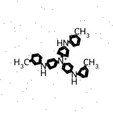 Cc1cccc(Nc2ccc([N+](c3ccc(Nc4cccc(C)c4)cc3)c3ccc(Nc4cccc(C)c4)cc3)cc2)c1